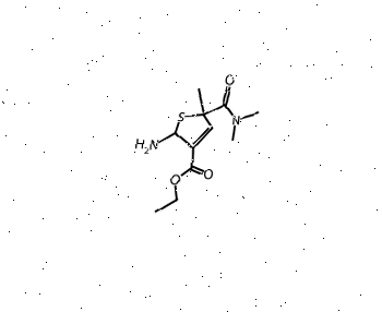 CCOC(=O)C1=CC(C)(C(=O)N(C)C)SC1N